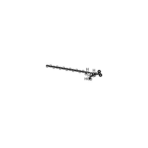 COCCOCCOCCOCCOCCOCCOCCOCCOCCOCCOCCOCCC(=O)NCCCCC(NC(=O)OCC1c2ccccc2-c2ccccc21)C(=O)NCCC(=O)O